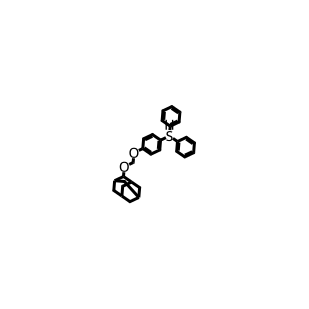 c1ccc([SH](c2ccccc2)c2ccc(OCOC3C4CC5CC(C4)CC3C5)cc2)cc1